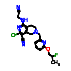 CC(F)COc1cccc(CN2CCc3c(NCC#N)nc(Cl)c(C#N)c3C2)n1